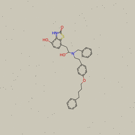 O=c1[nH]c2c(O)ccc(CC(O)N(CCc3ccc(OCCCCc4ccccc4)cc3)Cc3ccccc3)c2s1